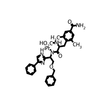 Cc1cc(C(N)=O)cc(C)c1CC(NC(=O)O)C(=O)N(C(C)C)C(COCc1ccccc1)c1nc(-c2ccccc2)c[nH]1